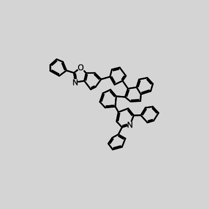 c1ccc(-c2cc(-c3ccccc3-c3ccc4ccccc4c3-c3cccc(-c4ccc5nc(-c6ccccc6)oc5c4)c3)cc(-c3ccccc3)n2)cc1